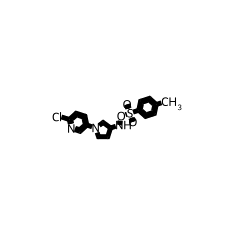 Cc1ccc(S(=O)(=O)ONC2CCN(c3ccc(Cl)nc3)C2)cc1